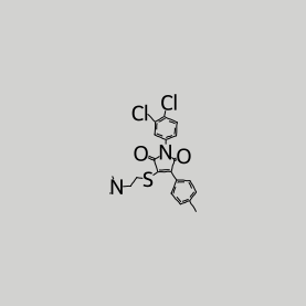 Cc1ccc(C2=C(SCCN(C)C)C(=O)N(c3ccc(Cl)c(Cl)c3)C2=O)cc1